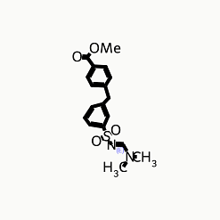 COC(=O)c1ccc(Cc2cccc(S(=O)(=O)/N=C/N(C)C)c2)cc1